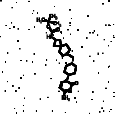 CC(C)(C)OC(=O)NC1CC2(CCN(C[C@H]3CC[C@H](n4ccc(N)nc4=O)CC3)CC2)C1